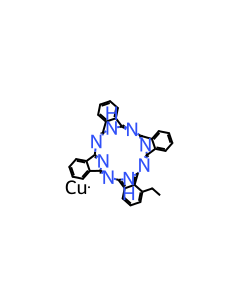 CCc1cccc2c3nc4nc(nc5[nH]c(nc6nc(nc([nH]3)c12)-c1ccccc1-6)c1ccccc51)-c1ccccc1-4.[Cu]